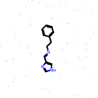 C(=N\CCc1ccccc1)/c1c[nH]cn1